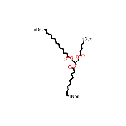 CCCCCCCCC/C=C\CCCCCCCC(=O)O[C@H](COC(=O)CCCCCCCCCCCCCC)COC(=O)CCCCCCCCCCCCCCCCCCCCC